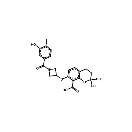 Cc1ccc(C(=O)N2CC(Oc3ccc4c(c3C(=O)O)O[B-](O)(O)CC4)C2)cc1O